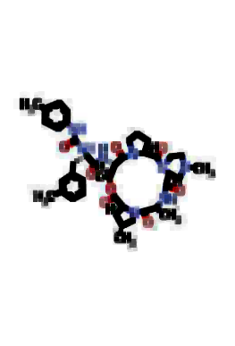 Cc1ccc(NC(=O)N[C@@H](Cc2cccc(C)c2)C(=O)N[C@@H]2C(=O)N3CCC[C@H]3C(=O)N3CCN(C)C[C@H]3C(=O)N[C@@H](C)C(=O)N3C[C@H](C)C[C@H]3C(=O)O[C@H]2C)cc1